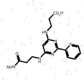 CNC(=O)CCNc1cc(NCCC(=O)O)nc(-c2ccccn2)n1